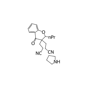 C1CCNC1.CCCC1Oc2ccccc2C(=O)C1(CCC#N)CCC#N